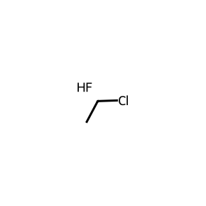 CCCl.F